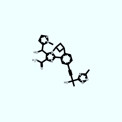 Cc1nc(C(C)(O)C#Cc2ccc3c(c2)-c2nc(C(N)=O)c(C(O)c4ccnn4C)n2C2CC3C2)no1